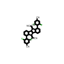 N#CC(C#N)=C1C2=C(C(=C(C#N)C#N)c3c2cccc3-c2c(F)cc(C#N)cc2F)c2cccc(-c3c(F)cc(C#N)cc3F)c21